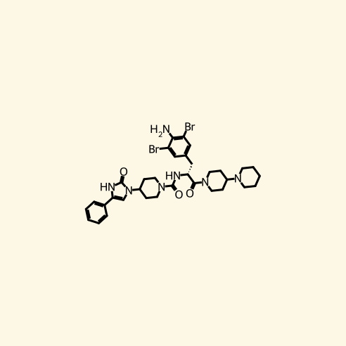 Nc1c(Br)cc(C[C@@H](NC(=O)N2CCC(n3cc(-c4ccccc4)[nH]c3=O)CC2)C(=O)N2CCC(N3CCCCC3)CC2)cc1Br